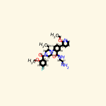 CCOc1ncccc1-c1ccc(N2CCN(C(=O)c3ccc(F)cc3OC)C[C@H]2CC)c(C(=O)NCCN)c1